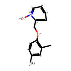 Cc1cc(C(C)(C)C)ccc1OCc1cccc[n+]1[O-]